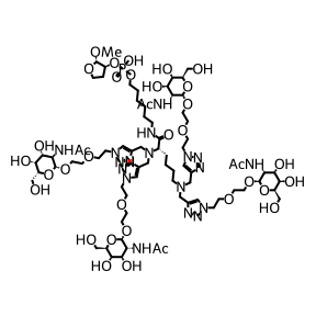 CO[C@H]1OCC[C@@H]1OP(=O)(O)OCCCCCCNC(=O)[C@H](CCCCN(Cc1cn(CCOCCO[C@@H]2O[C@H](CO)[C@H](O)[C@H](O)[C@H]2NC(C)=O)nn1)Cc1cn(CCOCCO[C@@H]2O[C@H](CO)[C@H](O)[C@H](O)[C@H]2NC(C)=O)nn1)N(Cc1cn(CCOCCO[C@@H]2O[C@H](CO)[C@H](O)[C@H](O)[C@H]2NC(C)=O)nn1)Cc1cn(CCOCCO[C@@H]2O[C@H](CO)[C@H](O)[C@H](O)[C@H]2NC(C)=O)nn1